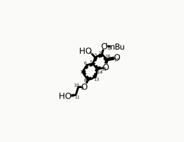 CCCCOc1c(O)c2ccc(OCCO)cc2oc1=O